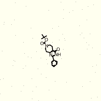 CC(C)(C)OC(=O)N1CCc2nc(-c3ccccc3)[nH]c(=O)c2CC1